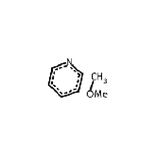 COC.c1ccncc1